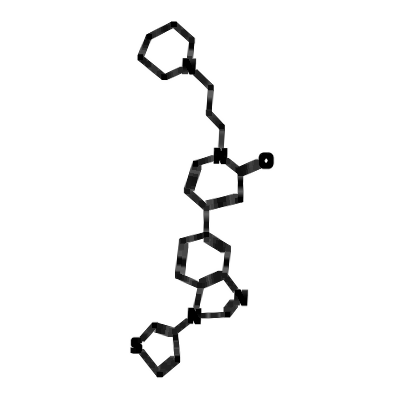 O=c1cc(-c2ccc3c(c2)ncn3-c2ccsc2)ccn1CCCN1CCCCC1